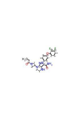 C=CC(=O)N1CC(N2CCNc3c2nn(-c2ccc(Oc4cccc(F)c4F)cc2)c3C(N)=O)C1